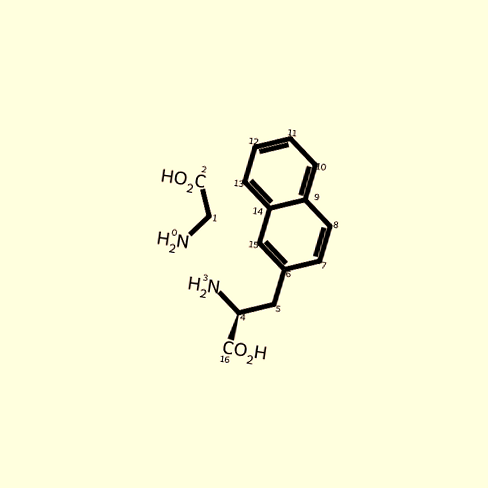 NCC(=O)O.N[C@@H](Cc1ccc2ccccc2c1)C(=O)O